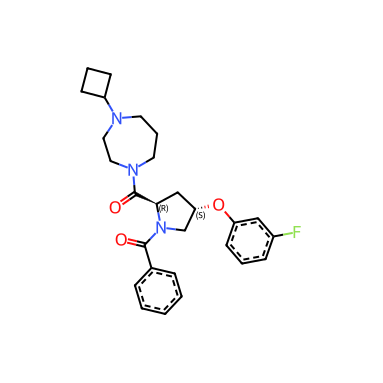 O=C([C@H]1C[C@H](Oc2cccc(F)c2)CN1C(=O)c1ccccc1)N1CCCN(C2CCC2)CC1